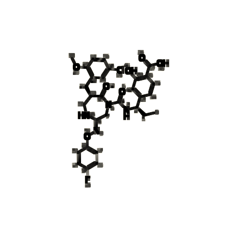 CC[C@@H](NC(=O)N1C/C(=N/Oc2ccc(F)cc2)NC[C@@H](Cc2cc(Cl)ccc2OC)C1=O)c1ccc(C(=O)O)c(O)c1